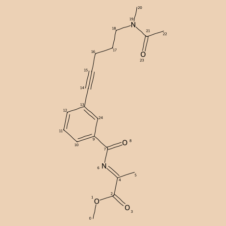 COC(=O)/C(C)=N/C(=O)c1cccc(C#CCCCN(C)C(C)=O)c1